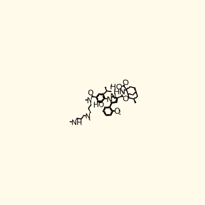 CNCCCN(C)CCCN(C)C(=O)c1c#cc(-n2nc(C(=O)NC3(C(=O)O)CCC4CC(C)CC3C4)cc2-c2c(O)cccc2OC)c(C(C)C)c1